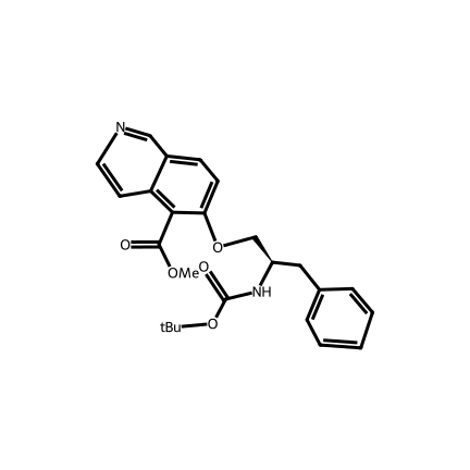 COC(=O)c1c(OC[C@@H](Cc2ccccc2)NC(=O)OC(C)(C)C)ccc2cnccc12